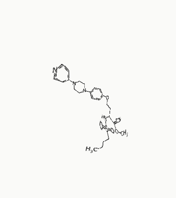 CCCCS(=O)(=O)NC(CCOc1ccc(N2CCN(c3ccncc3)CC2)cc1)C(=O)OC